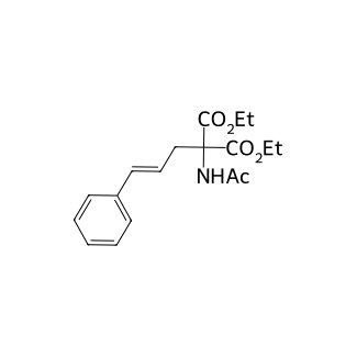 CCOC(=O)C(CC=Cc1ccccc1)(NC(C)=O)C(=O)OCC